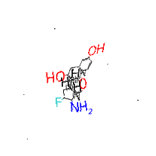 C[C@]12C=CC(O)=CC1CC(O)[C@@H]1[C@H]2OC[C@]2(C)C(N)C(F)C[C@@H]12